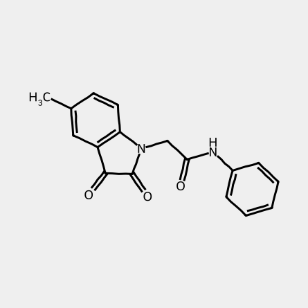 Cc1ccc2c(c1)C(=O)C(=O)N2CC(=O)Nc1ccccc1